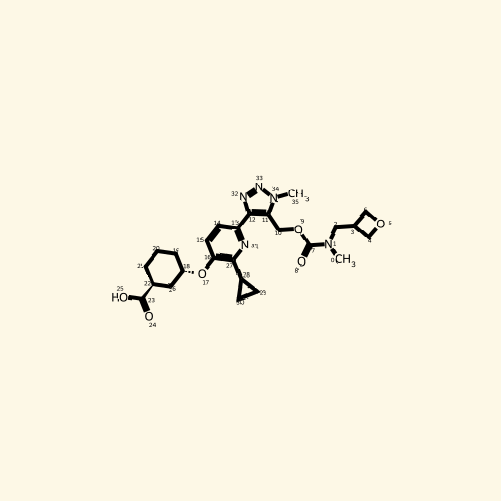 CN(CC1COC1)C(=O)OCc1c(-c2ccc(O[C@H]3CCC[C@H](C(=O)O)C3)c(C3CC3)n2)nnn1C